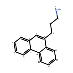 [NH]CCCc1cc2ccccc2c2ccccc12